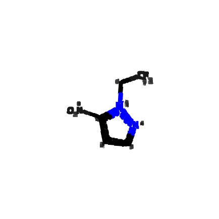 O=[N+]([O-])c1ccnn1CC(F)(F)F